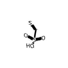 O=S(=O)(O)[C]=S